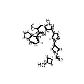 COc1cc2[nH]nc(-c3cnn(C4CN(C(=O)[C@H]5C[C@H](O)C5)C4)c3)c2nc1-c1cccc2c1CCC2